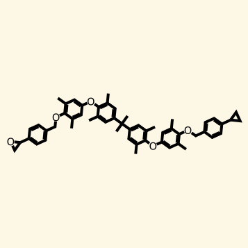 Cc1cc(Oc2c(C)cc(C(C)(C)c3cc(C)c(Oc4cc(C)c(OCc5ccc(C6CO6)cc5)c(C)c4)c(C)c3)cc2C)cc(C)c1OCc1ccc(C2CC2)cc1